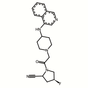 N#CC1C[C@H](F)CN1C(=O)CN1CCC(Nc2cncc3ccccc23)CC1